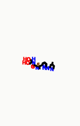 Cc1ccnc(Nc2cccc(-c3cnc(C(=O)NC(CO)CO)s3)n2)c1